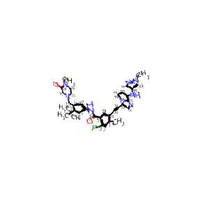 Cc1cc(F)c(C(=O)Nc2ccc(CN3CCN(C)C(=O)C3)c(C(C)(C)C#N)c2)cc1C#Cc1cnc2c(Nc3cnn(C)c3)cccn12